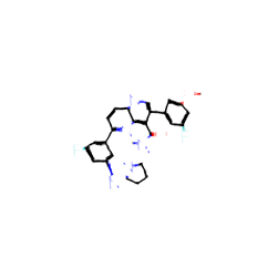 COc1cc(F)cc(-c2cnc3ccc(-c4cc(F)cc(C#N)c4)nc3c2C(=O)N(C)C[C@@H]2CCCN2)c1